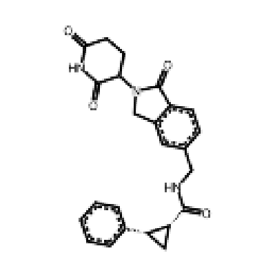 O=C1CCC(N2Cc3cc(CNC(=O)[C@@H]4C[C@@H]4c4ccccc4)ccc3C2=O)C(=O)N1